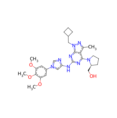 COc1cc(-n2cnc(Nc3nc(N4CCC[C@H]4CO)c4c(C)nn(CC5CCC5)c4n3)c2)cc(OC)c1OC